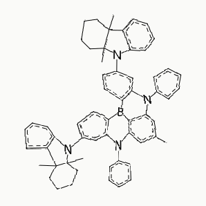 Cc1cc2c3c(c1)N(c1ccccc1)c1cc(N4c5ccccc5C5(C)CCCCC45C)ccc1B3c1ccc(N3c4ccccc4C4(C)CCCCC34C)cc1N2c1ccccc1